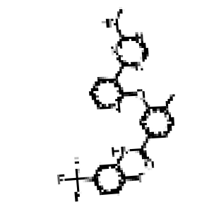 CNc1ncnc(-c2cccnc2Oc2cc(C(=O)Nc3cc(C(F)(F)F)ccc3F)ccc2C)n1